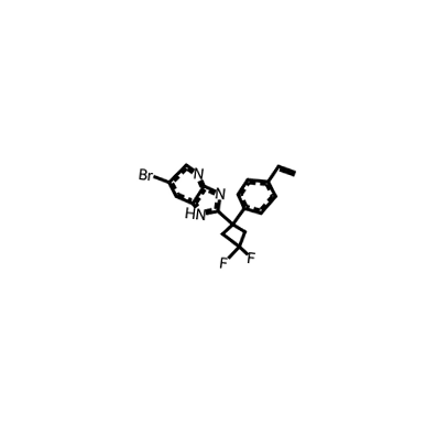 C=Cc1ccc(C2(c3nc4ncc(Br)cc4[nH]3)CC(F)(F)C2)cc1